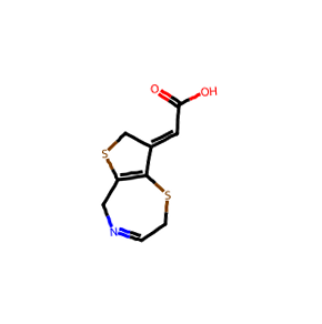 O=C(O)C=C1CSC2=C1SCC=NC2